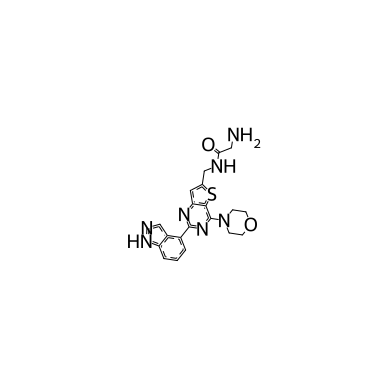 NCC(=O)NCc1cc2nc(-c3cccc4[nH]ncc34)nc(N3CCOCC3)c2s1